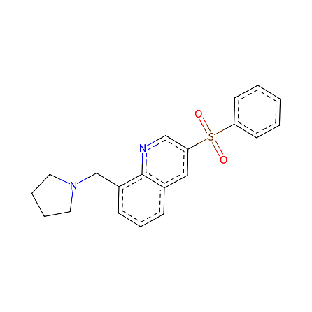 O=S(=O)(c1ccccc1)c1cnc2c(CN3CCCC3)cccc2c1